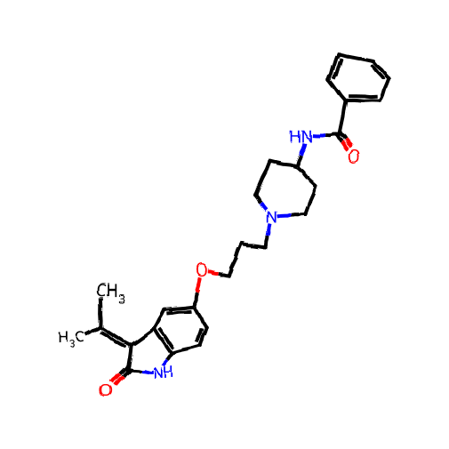 CC(C)=C1C(=O)Nc2ccc(OCCCN3CCC(NC(=O)c4ccccc4)CC3)cc21